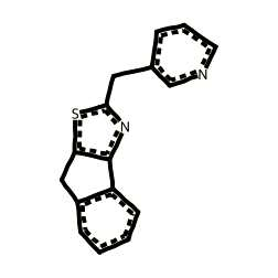 c1cncc(Cc2nc3c(s2)Cc2ccccc2-3)c1